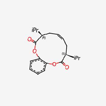 CC(C)[C@@H]1CC=CC[C@H](C(C)C)C(=O)Oc2ccccc2OC1=O